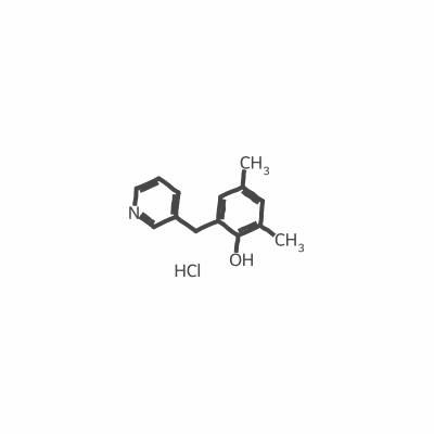 Cc1cc(C)c(O)c(Cc2cccnc2)c1.Cl